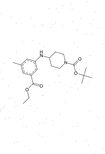 CCOC(=O)c1cc(C)cc(NC2CCN(C(=O)OC(C)(C)C)CC2)c1